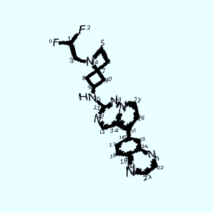 FC(F)CN1CCC12CC(Nc1ncc3c(-c4ccc5nccnc5c4)ccn3n1)C2